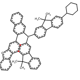 CC1(C)c2ccccc2-c2cc(N(c3ccc4c(c3)C(C)(C)c3cc(C5CCCCC5)ccc3-4)c3cc4ccccc4cc3-c3ccc4c(c3)oc3ccccc34)ccc21